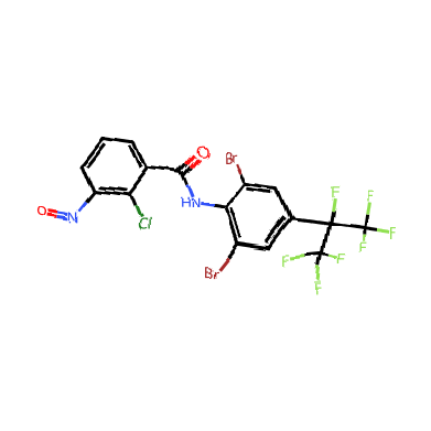 O=Nc1cccc(C(=O)Nc2c(Br)cc(C(F)(C(F)(F)F)C(F)(F)F)cc2Br)c1Cl